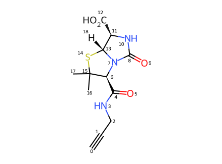 C#CCNC(=O)[C@@H]1N2C(=O)N[C@H](C(=O)O)[C@H]2SC1(C)C